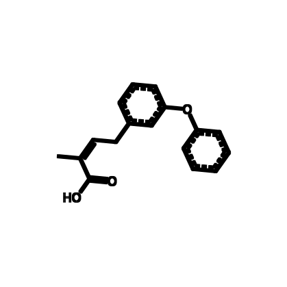 CC(=CCc1cccc(Oc2ccccc2)c1)C(=O)O